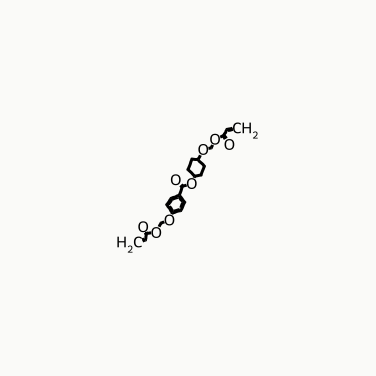 C=CC(=O)OCOc1ccc(C(=O)OC2CCC(OCOC(=O)C=C)CC2)cc1